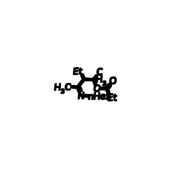 CCCCCCN=C(C)C(CC)C(C)OC(=O)CC